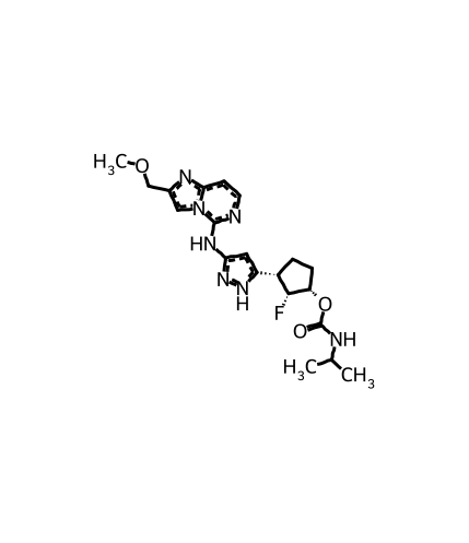 COCc1cn2c(Nc3cc([C@@H]4CC[C@H](OC(=O)NC(C)C)[C@@H]4F)[nH]n3)nccc2n1